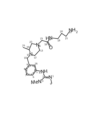 C/N=C(\NC)Nc1cccc(CN2CCN(CC(=O)NCCCN)CC2C)c1